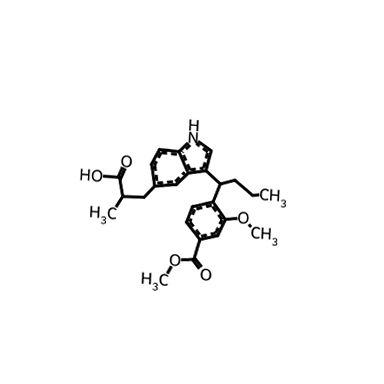 CCCC(c1ccc(C(=O)OC)cc1OC)c1c[nH]c2ccc(CC(C)C(=O)O)cc12